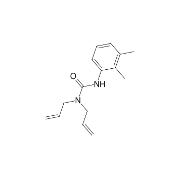 C=CCN(CC=C)C(=O)Nc1cccc(C)c1C